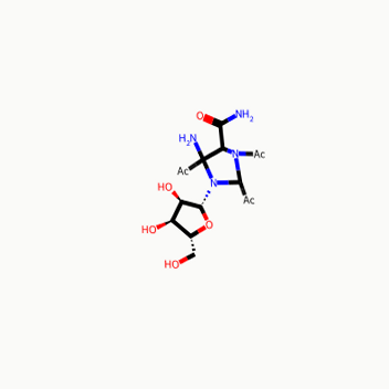 CC(=O)C1N(C(C)=O)C(C(N)=O)C(N)(C(C)=O)N1[C@@H]1O[C@H](CO)[C@@H](O)[C@H]1O